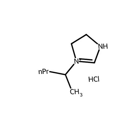 CCCC(C)[N+]1=CNCC1.Cl